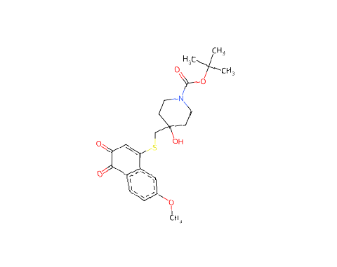 COc1ccc2c(c1)C(SCC1(O)CCN(C(=O)OC(C)(C)C)CC1)=CC(=O)C2=O